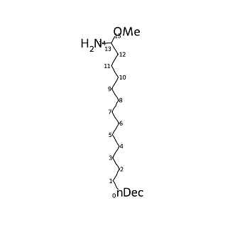 CCCCCCCCCCCCCCCCCCCCCCC(N)OC